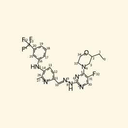 CCC1CN(c2nc(N/N=C/c3ccc(Nc4cccc(C(F)(F)F)c4)c(C)n3)ncc2F)CCO1